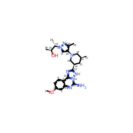 COc1ccc2c(c1)nc(N)n1nc([C@@H]3C[C@H](C)CN(c4cn([C@@H](C)[C@H](C)O)nc4C)C3)nc21